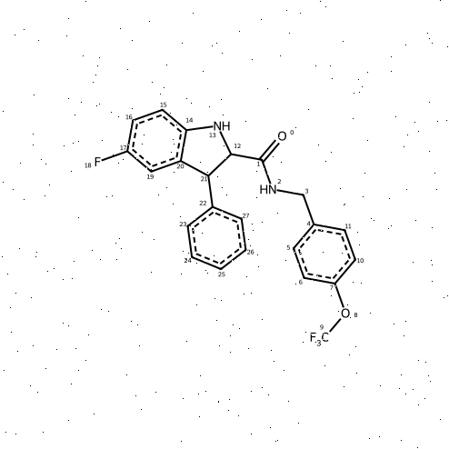 O=C(NCc1ccc(OC(F)(F)F)cc1)C1Nc2ccc(F)cc2C1c1ccccc1